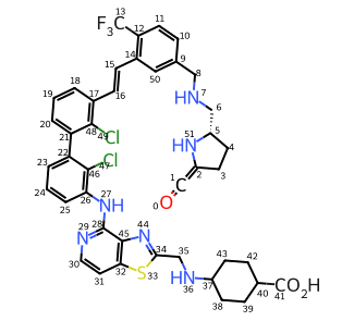 O=C=C1CC[C@@H](CNCc2ccc(C(F)(F)F)c(/C=C/c3cccc(-c4cccc(Nc5nccc6sc(CNC7CCC(C(=O)O)CC7)nc56)c4Cl)c3Cl)c2)N1